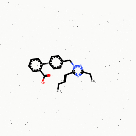 CCC=Cc1nc(CC)nn1Cc1ccc(-c2ccccc2C(=O)O)cc1